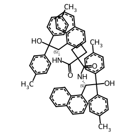 Cc1ccc(C(O)(c2ccc(C)cc2)[C@@H](NC(=O)C2(C(=O)N[C@@H](c3cccc4ccccc34)C(O)(c3ccc(C)cc3)c3ccc(C)cc3)CCC2)c2cccc3ccccc23)cc1